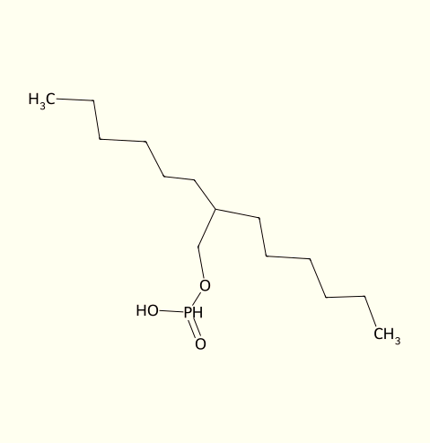 CCCCCCC(CCCCCC)CO[PH](=O)O